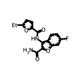 CCc1ccc(C(=O)Nc2c(C(N)=O)oc3cc(F)ccc23)o1